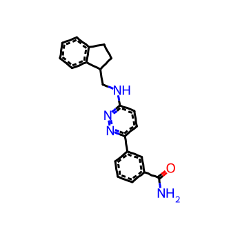 NC(=O)c1cccc(-c2ccc(NCC3CCc4ccccc43)nn2)c1